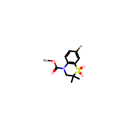 CC(C)(C)OC(=O)N1CC(C)(C)S(=O)(=O)c2cc(Br)ccc21